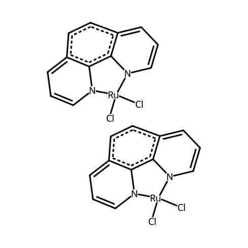 [Cl][Ru]1([Cl])[N]2C=CC=c3ccc4c(c32)[N]1C=CC=4.[Cl][Ru]1([Cl])[N]2C=CC=c3ccc4c(c32)[N]1C=CC=4